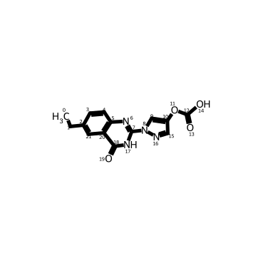 CCc1ccc2nc(-n3cc(OC(=O)O)cn3)[nH]c(=O)c2c1